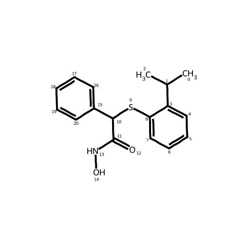 CC(C)c1ccccc1SC(C(=O)NO)c1ccccc1